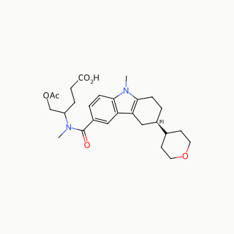 CC(=O)OCC(CCC(=O)O)N(C)C(=O)c1ccc2c(c1)c1c(n2C)CC[C@@H](C2CCOCC2)C1